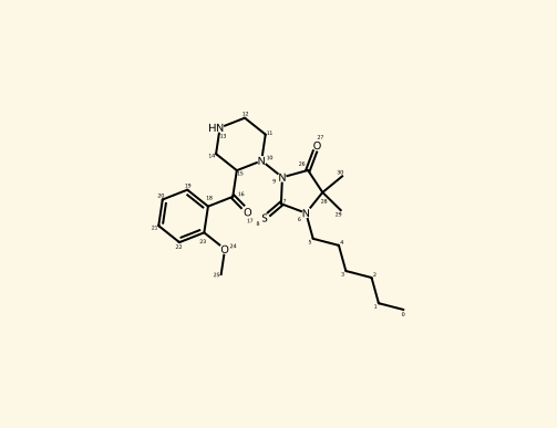 CCCCCCN1C(=S)N(N2CCNCC2C(=O)c2ccccc2OC)C(=O)C1(C)C